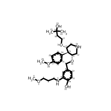 COCCCNc1cc(CO[C@H]2CNC[C@@H](OCCC(C)(C)O)[C@@H]2c2ccc(OC)cc2)ccc1O